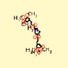 COc1cc(C=CC(=O)O[C@H]2CC3C[C@H](OC(=O)/C=C/c4cc(OC)c(OC)c(OC)c4)C(C2)N3C)cc(OC)c1OC